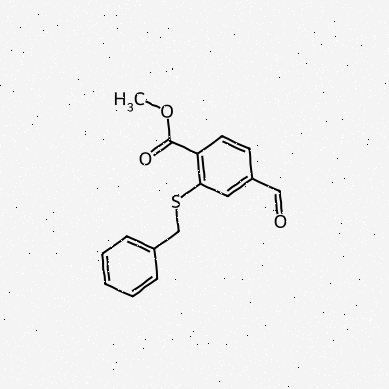 COC(=O)c1ccc(C=O)cc1SCc1ccccc1